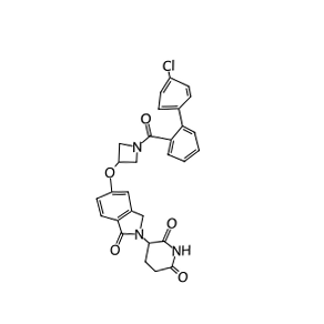 O=C1CCC(N2Cc3cc(OC4CN(C(=O)c5ccccc5-c5ccc(Cl)cc5)C4)ccc3C2=O)C(=O)N1